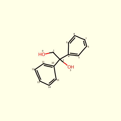 O[CH]C(O)(c1ccccc1)c1ccccc1